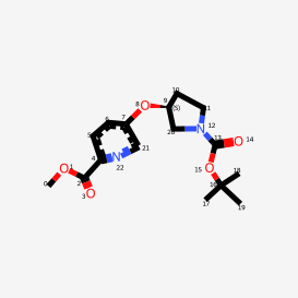 COC(=O)c1ccc(O[C@H]2CCN(C(=O)OC(C)(C)C)C2)cn1